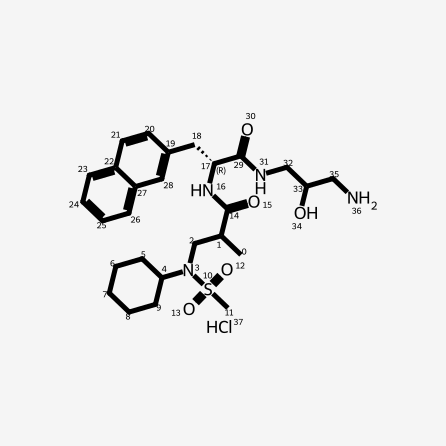 CC(CN(C1CCCCC1)S(C)(=O)=O)C(=O)N[C@H](Cc1ccc2ccccc2c1)C(=O)NCC(O)CN.Cl